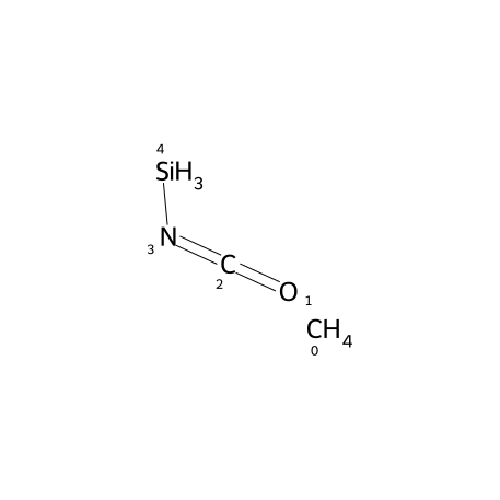 C.O=C=N[SiH3]